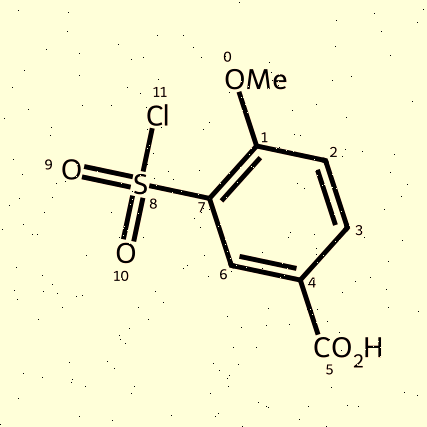 COc1ccc(C(=O)O)cc1S(=O)(=O)Cl